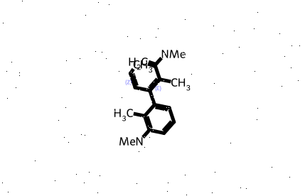 C=C(NC)/C(C)=C(\C=C/C)c1cccc(NC)c1C